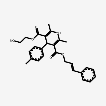 CC1=C(C(=O)OCC=Cc2ccccc2)C(c2ccc(C)cc2)C(C(=O)OCCC#N)=C(C)N1